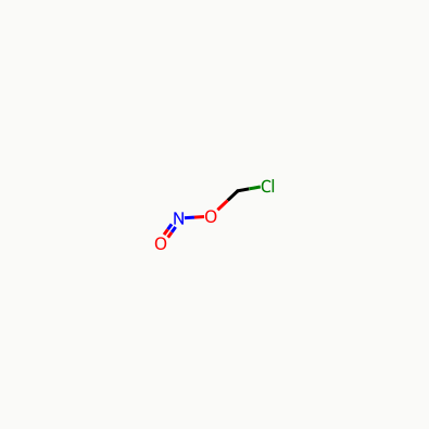 O=NOCCl